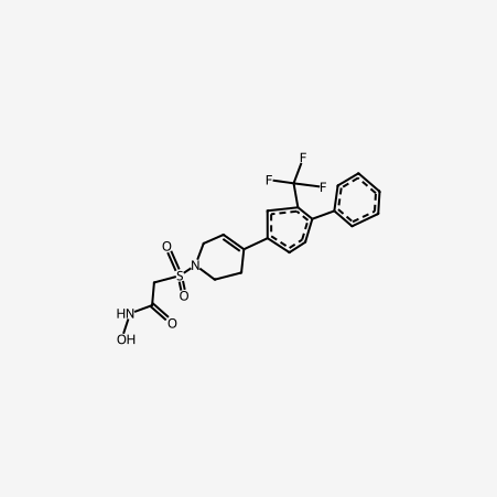 O=C(CS(=O)(=O)N1CC=C(c2ccc(-c3ccccc3)c(C(F)(F)F)c2)CC1)NO